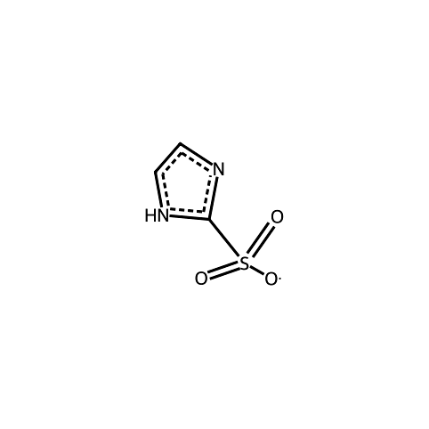 [O]S(=O)(=O)c1ncc[nH]1